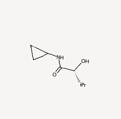 CC(C)[C@@H](O)C(=O)NC1CC1